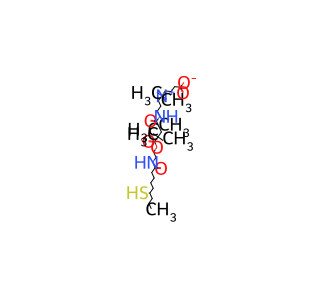 CCCC(S)CCCCC(=O)NCCOC(=O)C(C)(CC)CC(C)(C)C(=O)NCCC[N+](C)(C)CCCC(=O)[O-]